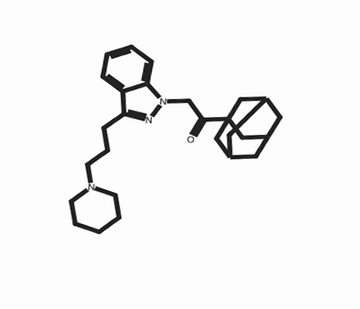 O=C(Cn1nc(CCCN2CCCCC2)c2ccccc21)C12CC3CC(CC(C3)C1)C2